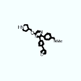 CNCc1ccc(-c2ncc(OCC3CCNCC3)nc2-c2ccc(-c3ccoc3)cc2)cc1